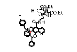 CCOC(=O)[C@H](C)NP(=O)(CCNC(=O)c1c2c(c(OC(c3ccccc3)c3ccccc3)c3ncccc13)C(=O)N(Cc1ccc(F)cc1)C2)N[C@@H](C)C(=O)OCC